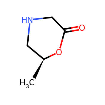 C[C@H]1CNCC(=O)O1